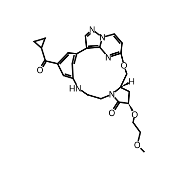 COCCO[C@@H]1C[C@H]2COc3ccn4ncc(c4n3)-c3cc(cc(C(=O)C4CC4)c3)NCCN2C1=O